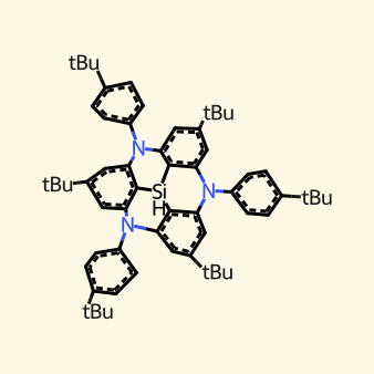 CC(C)(C)c1ccc(N2c3cc(C(C)(C)C)cc4c3[SiH]3c5c2cc(C(C)(C)C)cc5N(c2ccc(C(C)(C)C)cc2)c2cc(C(C)(C)C)cc(c23)N4c2ccc(C(C)(C)C)cc2)cc1